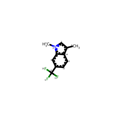 Cc1cn(C)c2cc(C(F)(F)F)ccc12